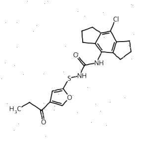 CCC(=O)c1coc(SNC(=O)Nc2c3c(c(Cl)c4c2CCC4)CCC3)c1